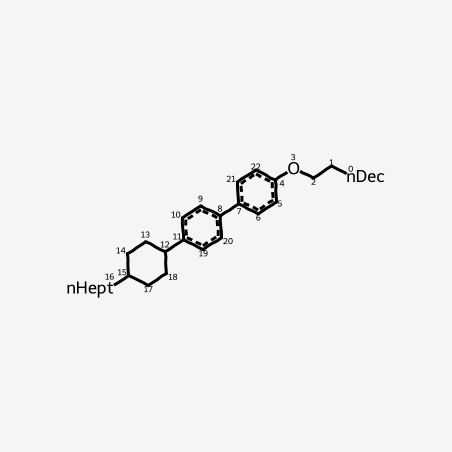 CCCCCCCCCCCCOc1ccc(-c2ccc(C3CCC(CCCCCCC)CC3)cc2)cc1